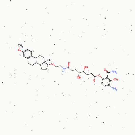 COc1ccc2c(c1)CCC1C2CCC2(C)C(OCCNC(=O)CCC(O)C(O)CCC(=O)Oc3ccc(N)c(O)c3C(N)=O)CCC12